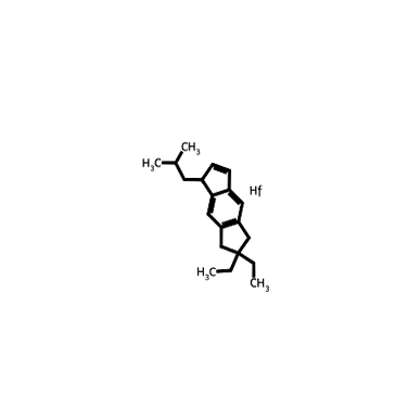 CCC1(CC)Cc2cc3c(cc2C1)[C](CC(C)C)C=C3.[Hf]